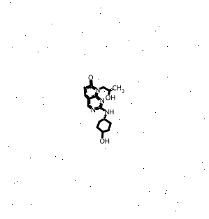 CC(O)Cn1c(=O)ccc2cnc(NC3CCC(O)CC3)nc21